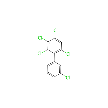 Clc1cccc(-c2c(Cl)cc(Cl)c(Cl)c2Cl)c1